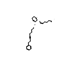 O=C(O)CCC/C=C\C[C@@H]1[C@H](CSCCCCC#CCCc2ccccc2)[C@@H]2CC[C@H]1S2